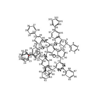 CC1C(c2ccccc2)=Cc2c1n(-c1c(C#N)c(-n3c4ccc(-c5ccccc5)cc4c4cc(-c5ccccc5)ccc43)c(-n3c4ccc(-c5ccccc5)cc4c4cc(-c5ccccc5)ccc43)c3oc4c(-c5cc(-c6ccccc6)nc(-c6ccccc6)n5)cccc4c13)c1ccc(-c3ccccc3)cc21